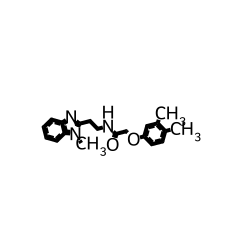 Cc1ccc(OCC(=O)NCCc2nc3ccccc3n2C)cc1C